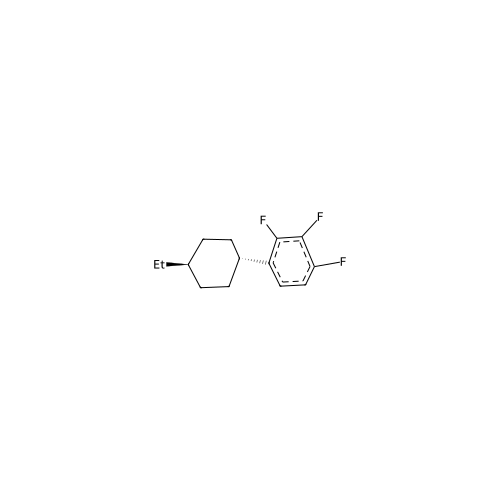 CC[C@H]1CC[C@H](c2ccc(F)c(F)c2F)CC1